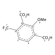 COc1c(C(=O)O)ccc(C(F)(F)F)c1C(=O)O